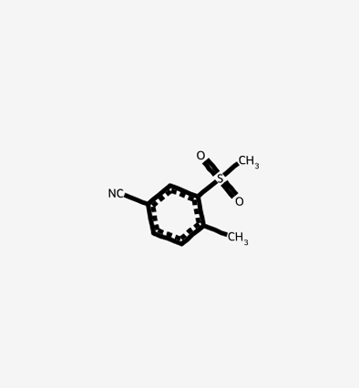 Cc1ccc(C#N)cc1S(C)(=O)=O